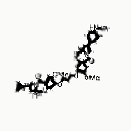 COc1cc2c(cc1OCCCOc1cc3c(cc1OC)C(=O)N1C=C(C4CC4)C[C@H]1C=N3)N=C[C@@H]1CC(c3ccc(NC(C)C)cc3)=CN1C2=O